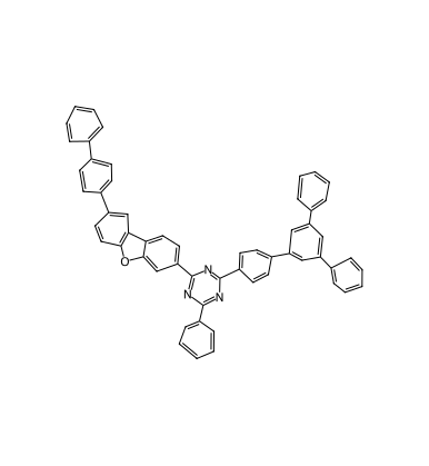 c1ccc(-c2ccc(-c3ccc4oc5cc(-c6nc(-c7ccccc7)nc(-c7ccc(-c8cc(-c9ccccc9)cc(-c9ccccc9)c8)cc7)n6)ccc5c4c3)cc2)cc1